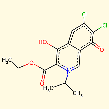 CCOC(=O)c1c(O)c2cc(Cl)c(Cl)c(=O)c-2cn1C(C)C